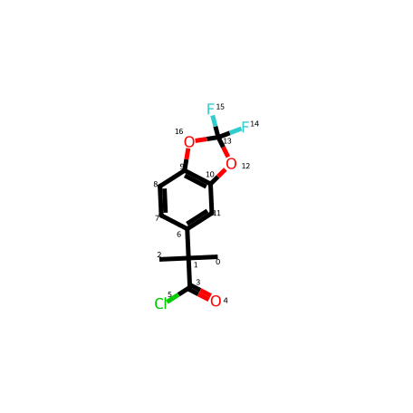 CC(C)(C(=O)Cl)c1ccc2c(c1)OC(F)(F)O2